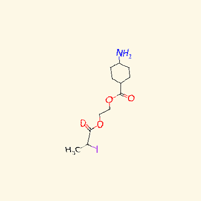 CC(I)C(=O)OCCOC(=O)C1CCC(N)CC1